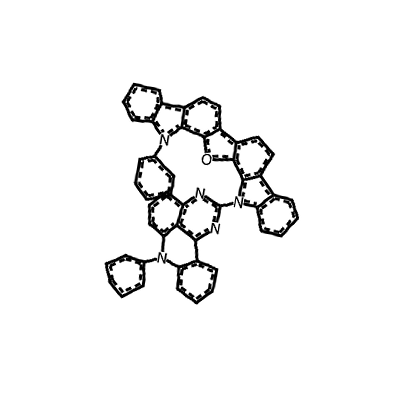 c1ccc(N2c3ccccc3-c3nc(-n4c5ccccc5c5ccc6c7ccc8c9ccccc9n(-c9ccccc9)c8c7oc6c54)nc4cccc2c34)cc1